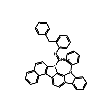 CN/C(=N\c1ccccc1Cc1ccccc1)n1c2ccc3ccccc3c2c2ccc3c4ccccc4n(-c4ccccc4)c3c21